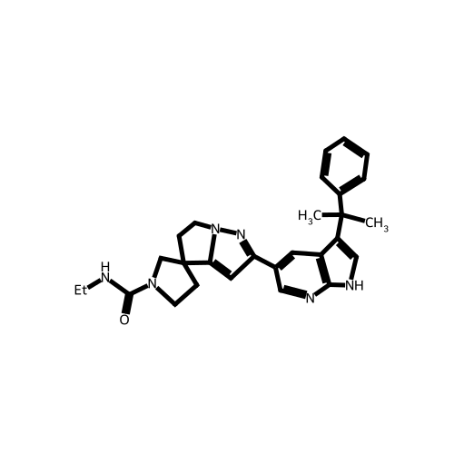 CCNC(=O)N1CCC2(CCn3nc(-c4cnc5[nH]cc(C(C)(C)c6ccccc6)c5c4)cc32)C1